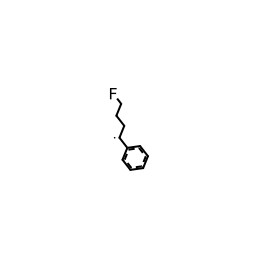 FCCC[CH]c1ccccc1